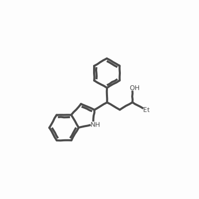 CCC(O)CC(c1ccccc1)c1cc2ccccc2[nH]1